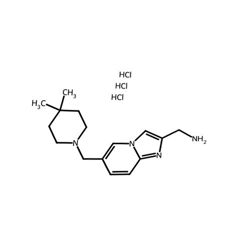 CC1(C)CCN(Cc2ccc3nc(CN)cn3c2)CC1.Cl.Cl.Cl